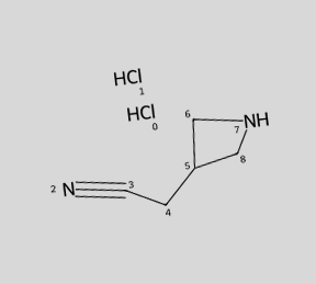 Cl.Cl.N#CCC1CNC1